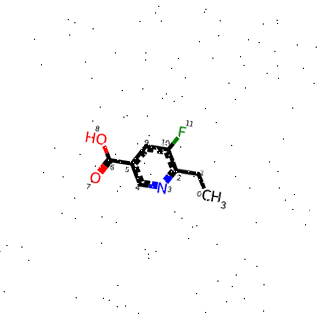 CCc1ncc(C(=O)O)cc1F